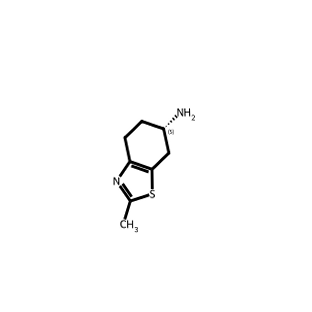 Cc1nc2c(s1)C[C@@H](N)CC2